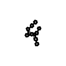 c1ccc(-c2ccc(-c3cccc(-n4c5ccccc5c5cc6c(cc54)c4cc(-c5ccccc5)ccc4n6-c4ccc(-c5ccccc5)cc4)c3)cc2)cc1